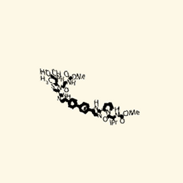 COC(=O)N[C@H](C(=O)N1CCC[C@H]1c1ncc(C23CCC(c4ccc(-c5cnc([C@@H]6CSC(CC(C)(C)O)N6C(=O)[C@@H](NC(=O)OC)C(C)C)[nH]5)cc4)(CC2)CC3)[nH]1)C(C)C